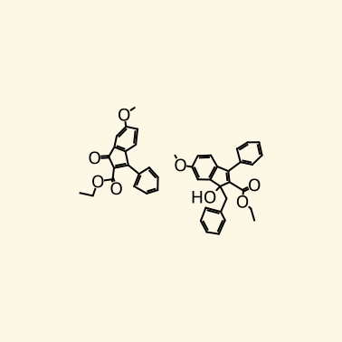 CCOC(=O)C1=C(c2ccccc2)c2ccc(OC)cc2C1(O)Cc1ccccc1.CCOC(=O)C1=C(c2ccccc2)c2ccc(OC)cc2C1=O